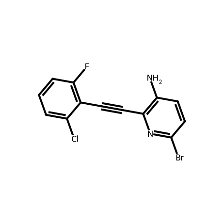 Nc1ccc(Br)nc1C#Cc1c(F)cccc1Cl